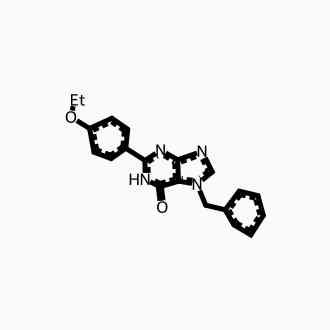 CCOc1ccc(-c2nc3ncn(Cc4ccccc4)c3c(=O)[nH]2)cc1